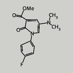 COC(=O)c1cc(N(C)C)cn(-c2ccc(F)cc2)c1=O